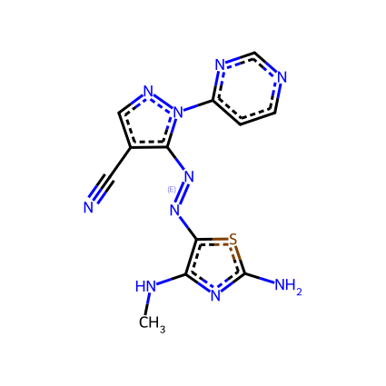 CNc1nc(N)sc1/N=N/c1c(C#N)cnn1-c1ccncn1